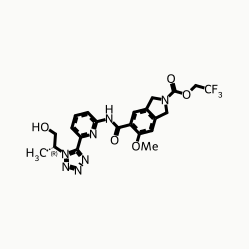 COc1cc2c(cc1C(=O)Nc1cccc(-c3nnnn3[C@H](C)CO)n1)CN(C(=O)OCC(F)(F)F)C2